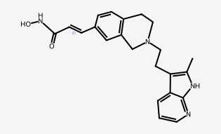 Cc1[nH]c2ncccc2c1CCN1CCc2ccc(/C=C/C(=O)NO)cc2C1